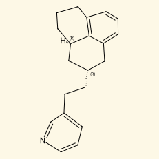 c1cncc(CC[C@H]2Cc3cccc4c3[C@H](CCC4)C2)c1